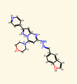 C(=NNc1cc(N2CCOCC2)n2nc(-c3ccncc3)cc2n1)c1ccc2occc2c1